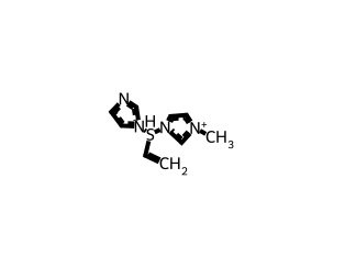 C=C[SH](n1ccnc1)n1cc[n+](C)c1